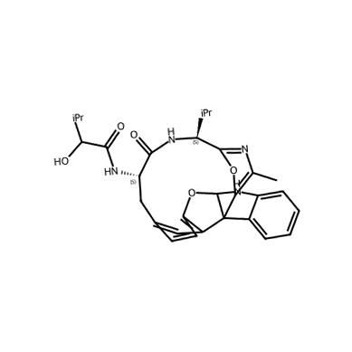 Cc1nc2oc1C13c4ccccc4NC1Oc1ccc(cc13)C[C@H](NC(=O)C(O)C(C)C)C(=O)N[C@H]2C(C)C